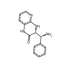 N[C@@H](c1ccccc1)[C@@H]1Nc2ncccc2NC1=O